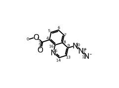 COC(=O)c1cccc2c(N=[N+]=[N-])ccnc12